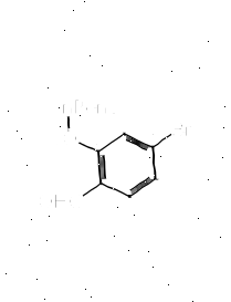 CCCCCOc1cc(Br)ccc1C=O